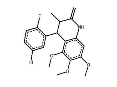 C=C1Nc2cc(OC)c(OC)c(OC)c2C(c2cc(Cl)ccc2F)C1C